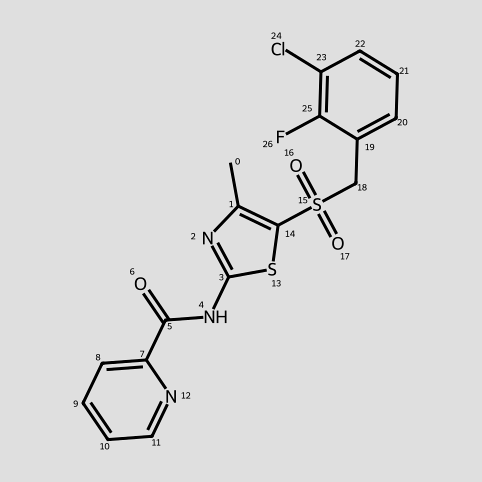 Cc1nc(NC(=O)c2ccccn2)sc1S(=O)(=O)Cc1cccc(Cl)c1F